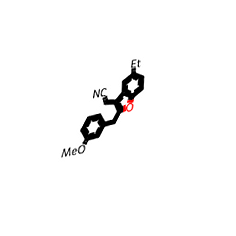 CCc1ccc2oc(Cc3cccc(OC)c3)c(CC#N)c2c1